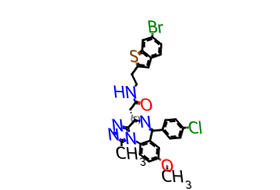 COc1ccc2c(c1)C(c1ccc(Cl)cc1)=N[C@@H](CC(=O)NCCc1cc3ccc(Br)cc3s1)c1nnc(C)n1-2